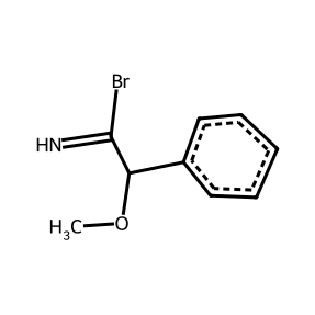 COC(C(=N)Br)c1ccccc1